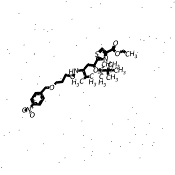 CCOC(=O)c1csc(C(CC(NOCCCOCc2ccc([N+](=O)[O-])cc2)C(C)C)O[Si](C)(C)C(C)(C)C)n1